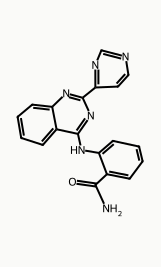 NC(=O)c1ccccc1Nc1nc(-c2ccncn2)nc2ccccc12